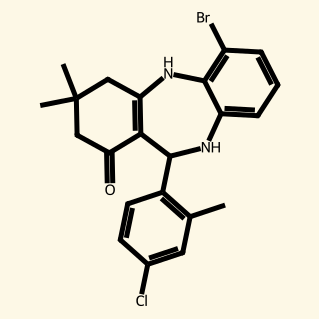 Cc1cc(Cl)ccc1C1Nc2cccc(Br)c2NC2=C1C(=O)CC(C)(C)C2